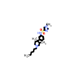 CCCCCCN1CCC(C)(c2cccc(NS(=O)(=O)c3cn(C)cn3)c2)C(C)C1